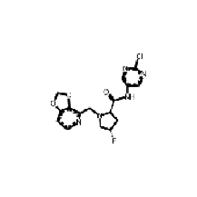 O=C(Nc1cnc(Cl)nc1)[C@H]1C[C@H](F)CN1Cc1nccc2c1OCO2